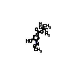 CO/N=C1/CN(C(=O)OC(C)(C)C)C[C@@H]1O